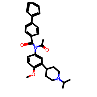 COc1ccc(N(C(C)=O)C(=O)c2ccc(-c3ccccc3)cc2)cc1C1CCN(C(C)C)CC1